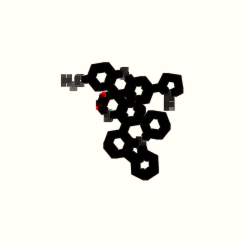 CC1C=CC2=C(C1)C1(c3ccc(C4CCCN4)cc3S2)c2ccccc2Sc2c(C3CC=Cc4c3n(C3=CC=CCC3)c3ccccc43)cccc21